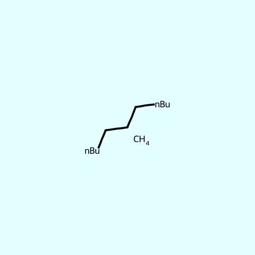 C.CCCCCCCCCCC